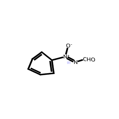 O=C/N=[N+](\[O-])c1ccccc1